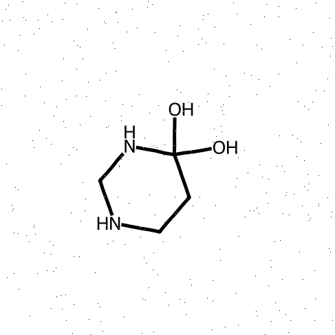 OC1(O)CCNCN1